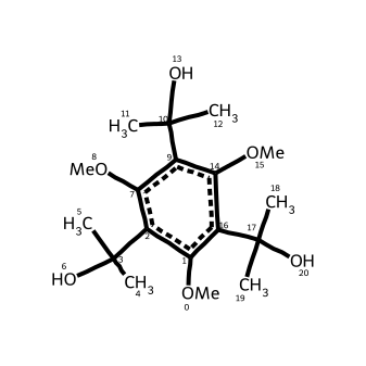 COc1c(C(C)(C)O)c(OC)c(C(C)(C)O)c(OC)c1C(C)(C)O